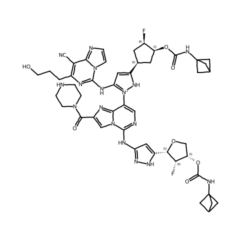 N#Cc1c(CCCO)nc(Nc2cc([C@H]3C[C@@H](F)[C@@H](OC(=O)NC45CC(C4)C5)C3)[nH][n+]2-c2cnc(Nc3cc([C@@H]4OC[C@H](OC(=O)NC56CC(C5)C6)[C@@H]4F)[nH]n3)n3cc(C(=O)N4CCNCC4)nc23)n2ccnc12